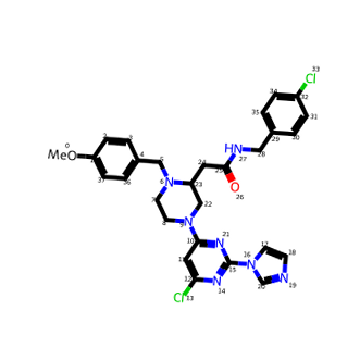 COc1ccc(CN2CCN(c3cc(Cl)nc(-n4ccnc4)n3)CC2CC(=O)NCc2ccc(Cl)cc2)cc1